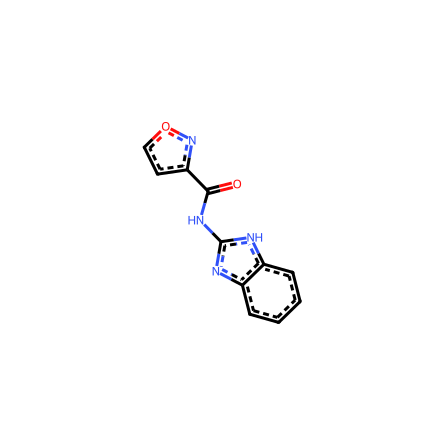 O=C(Nc1nc2ccccc2[nH]1)c1ccon1